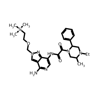 CCN1CC(c2ccccc2)N(C(=O)C(=O)Nc2cnc(N)c3cn(COCC[Si](C)(C)C)nc23)CC1C